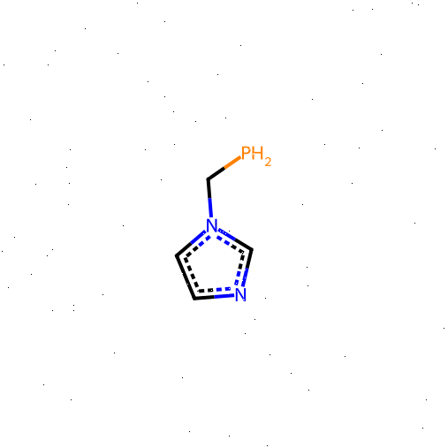 PCn1ccnc1